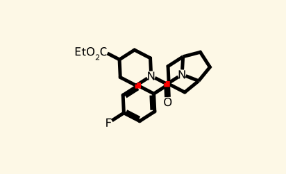 CCOC(=O)C1CCN(C(=O)N2C3CCC2CC(c2ccc(F)cc2)C3)CC1